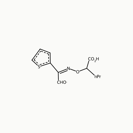 CCCC(ON=C([C]=O)c1cccs1)C(=O)O